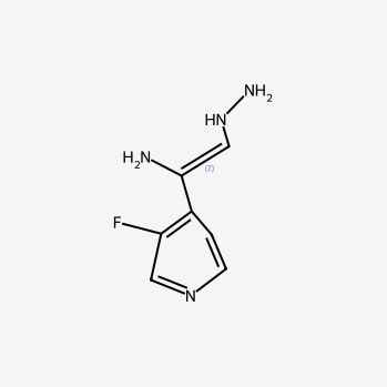 NN/C=C(\N)c1ccncc1F